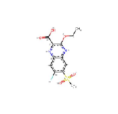 CCOc1nc2cc(S(C)(=O)=O)c(F)cc2nc1C(=O)O